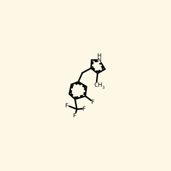 Cc1c[nH]cc1Cc1ccc(C(F)(F)F)c(F)c1